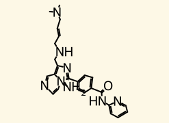 CN(C)C/C=C/CNCC1=C2C=NC=C[N+]2(N)C(c2ccc(C(=O)Nc3ccccn3)cc2)=N1